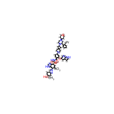 CC(C)c1ccccc1C1CN(C2CCOCC2)CCN1C1CC2(CCN(c3ccc(C(=O)NS(=O)(=O)c4cc([N+](=O)[O-])c(NC[C@H]5CC[C@](C)(O)CC5)c5[nH]cnc45)c(Oc4cnc5[nH]ccc5c4)c3)CC2)C1